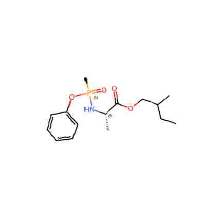 CCC(C)COC(=O)[C@H](C)N[P@@](C)(=O)Oc1ccccc1